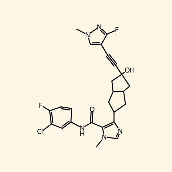 Cn1cc(C#CC2(O)CC3CC(c4ncn(C)c4C(=O)Nc4ccc(F)c(Cl)c4)CC3C2)c(F)n1